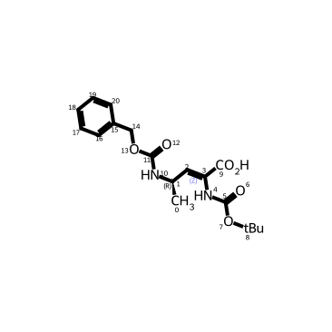 C[C@H](/C=C(\NC(=O)OC(C)(C)C)C(=O)O)NC(=O)OCc1ccccc1